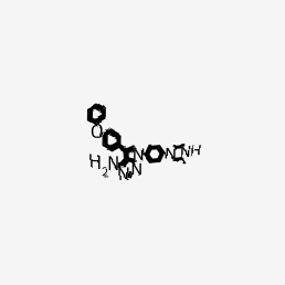 C[C@H]1CN([C@H]2CC[C@H](n3cc(-c4ccc(Oc5ccccc5)cc4)c4c(N)ncnc43)CC2)CCN1